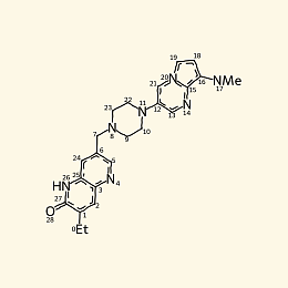 CCc1cc2ncc(CN3CCN(c4cnc5c(NC)ccn5c4)CC3)cc2[nH]c1=O